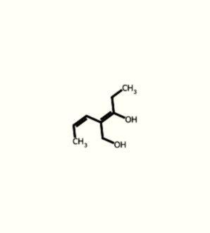 C/C=C\C(CO)=C(\O)CC